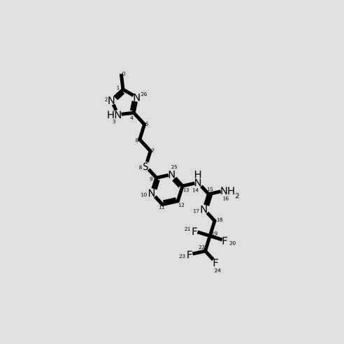 Cc1n[nH]c(CCCSc2nccc(NC(N)=NCC(F)(F)C(F)F)n2)n1